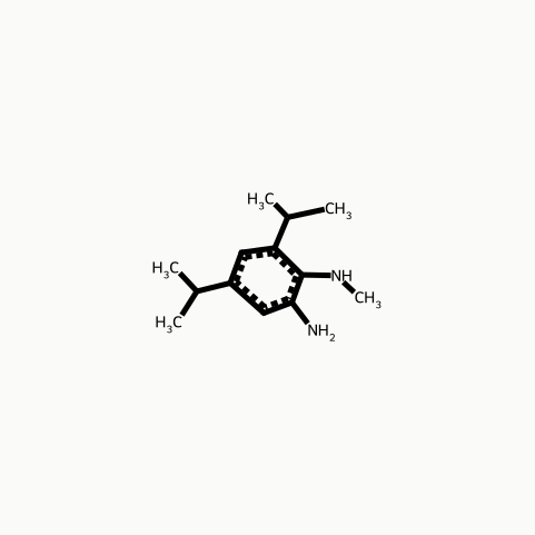 CNc1c(N)cc(C(C)C)cc1C(C)C